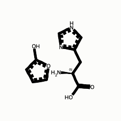 N[C@@H](Cc1c[nH]cn1)C(=O)O.Oc1ccco1